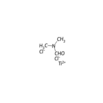 CN(C)C=O.[Cl-].[Cl-].[Ti+2]